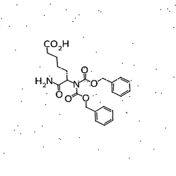 NC(=O)C(CCCCC(=O)O)N(C(=O)OCc1ccccc1)C(=O)OCc1ccccc1